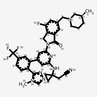 C[C@H]1CCCN(Cc2cc(F)c3c(c2)C(=O)N(c2cc(-c4cc(C(F)(F)F)ccc4-c4nncn4C)cc(NC4(CC#N)CC4)n2)C3)C1